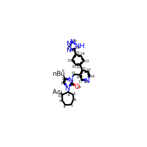 CCCCc1cn(C2CCCCCC2C(C)=O)c(=O)n1Cc1cnccc1-c1ccc(-c2nnn[nH]2)cc1